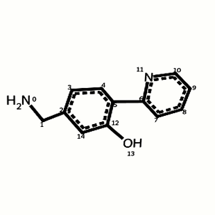 NCc1ccc(-c2ccccn2)c(O)c1